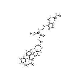 CN(CCCn1nnc2cc(C=O)ccc21)C(=O)CCN1CCC2(CC1)CC(OC(C(=O)O)(c1cccs1)c1cccs1)C2